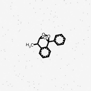 CC1c2ccccc2C2(c3ccccc3)OOC1O2